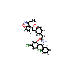 Cc1noc(C)c1-c1cc2cc(CC(=O)NC(c3ccccc3)c3ccc(Cl)cc3Cl)ccc2o1